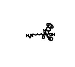 NCCCCCC(=O)N[C@H](CN1CCCC1)C(O)c1ccc2c(c1)OCCO2